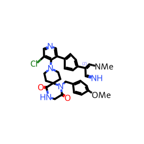 CN/C=C(\C=N)c1ccc(-c2cncc(Cl)c2N2CCC3(CC2)C(=O)NCC(=O)N3Cc2ccc(OC)cc2)cc1